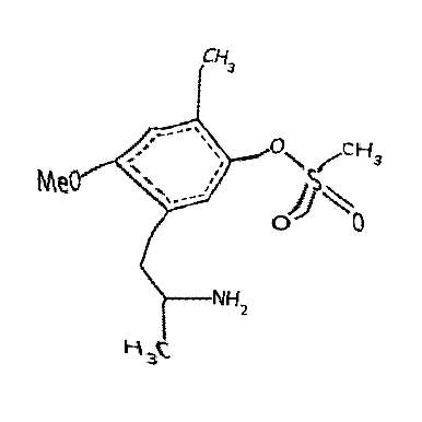 COc1cc(C)c(OS(C)(=O)=O)cc1CC(C)N